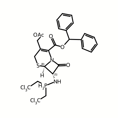 CC(=O)OCC1=C(C(=O)OC(c2ccccc2)c2ccccc2)N2C(=O)[C@H](N[PH2](CC(Cl)(Cl)Cl)CC(Cl)(Cl)Cl)[C@H]2SC1